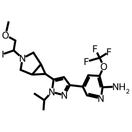 COCC(I)N1CC2C(C1)C2c1cc(-c2cnc(N)c(OC(F)(F)F)c2)nn1C(C)C